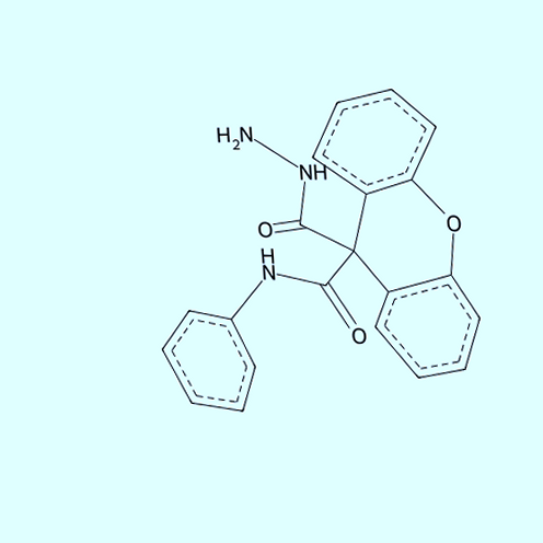 NNC(=O)C1(C(=O)Nc2ccccc2)c2ccccc2Oc2ccccc21